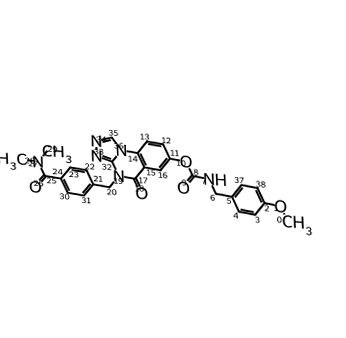 COc1ccc(CNC(=O)Oc2ccc3c(c2)c(=O)n(Cc2ccc(C(=O)N(C)C)cc2)c2nncn32)cc1